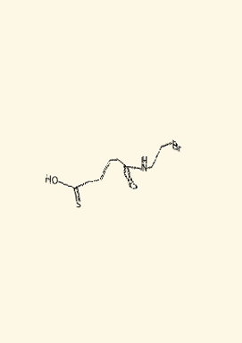 O=C(C=CCC(O)=S)NCCBr